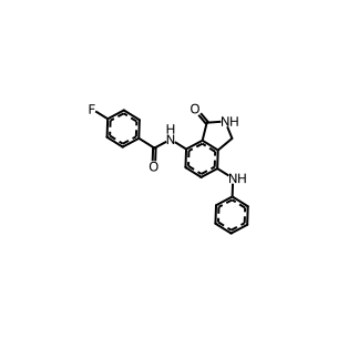 O=C(Nc1ccc(Nc2ccccc2)c2c1C(=O)NC2)c1ccc(F)cc1